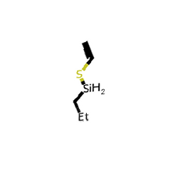 C=CS[SiH2]CCC